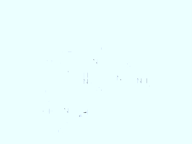 CC(=O)OCC1=C(C(=O)O)N2C(=O)C[C@H]2SC1NC(=O)C(=NOCc1ccccc1)c1csc(N)n1